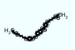 C=C=COOCCCCCOc1ccc(OCOC2=Cc3ccc(OC(=O)c4ccc(OCCCCCOC(=O)C=C)cc4)cc3CC2)cc1